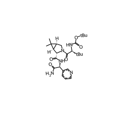 CC(C)(C)OC(=O)N[C@H](C(=O)N1C[C@H]2[C@@H]([C@H]1C(=O)N[C@H](C(N)=O)c1cccnc1)C2(C)C)C(C)(C)C